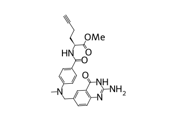 C#CCC[C@H](NC(=O)c1ccc(N(C)Cc2ccc3nc(N)[nH]c(=O)c3c2)cc1)C(=O)OC